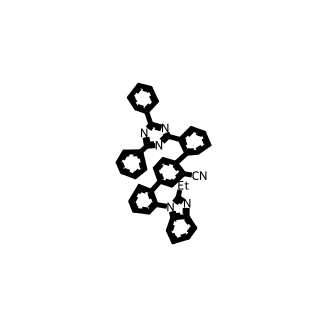 CCc1nc2ccccc2n1-c1ccccc1-c1ccc(-c2ccccc2-c2nc(-c3ccccc3)nc(-c3ccccc3)n2)c(C#N)c1